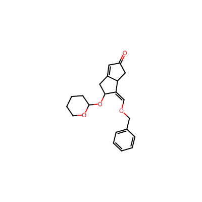 O=C1C=C2CC(OC3CCCCO3)C(=COCc3ccccc3)C2C1